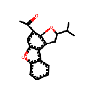 CC(=O)c1cc2oc3ccccc3c2c2c1OC(C(C)C)C2